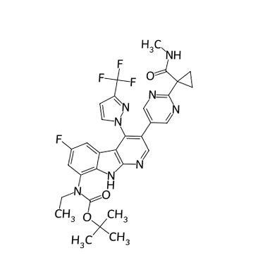 CCN(C(=O)OC(C)(C)C)c1cc(F)cc2c1[nH]c1ncc(-c3cnc(C4(C(=O)NC)CC4)nc3)c(-n3ccc(C(F)(F)F)n3)c12